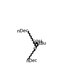 CCCCCCCCCCCCCCCCCCSCc1cc(CSCCCCCCCCCCCCCCCCCC)c(O)c(C(C)(C)C)c1